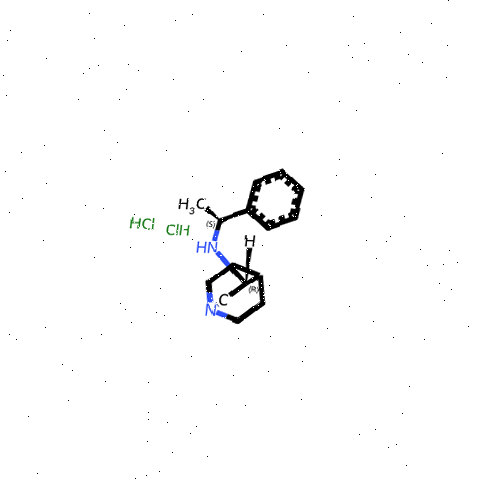 C[C@H](N[C@H]1CN2CCC1CC2)c1ccccc1.Cl.Cl